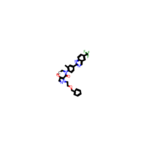 Cc1cc(-c2ncc3cc(C(F)(F)F)ccc3n2)ccc1N1CCOc2cnn(CCOCc3ccccc3)c2C1=O